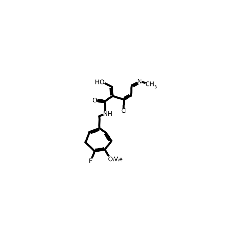 C\N=C/C=C(Cl)\C(=C\O)C(=O)NCC1=CCC(F)=C(OC)C=C1